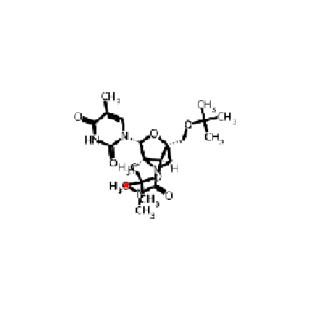 Cc1cn([C@@H]2O[C@@]3(COC(C)(C)C)CN(C(=O)N(C)C)[C@@H]2[C@@H]3OC(C)(C)C)c(=O)[nH]c1=O